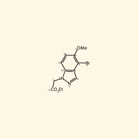 CCOC(=O)Cn1ncc2c(Br)c(OC)ccc21